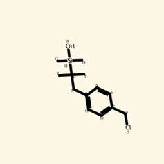 CC(C)(Cc1ccc(CCl)cc1)[Si](C)(C)O